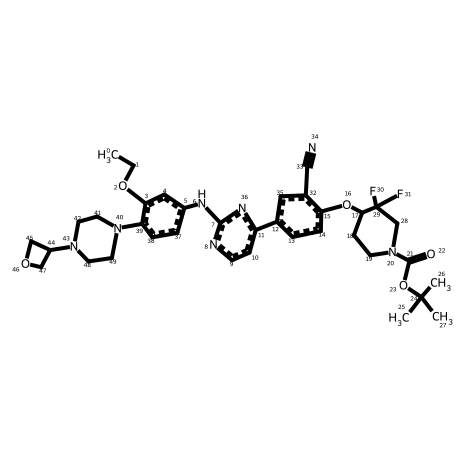 CCOc1cc(Nc2nccc(-c3ccc(OC4CCN(C(=O)OC(C)(C)C)CC4(F)F)c(C#N)c3)n2)ccc1N1CCN(C2COC2)CC1